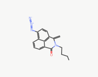 C=c1c2ccc(N=[N+]=[N-])c3cccc(c(=O)n1CCCC)c32